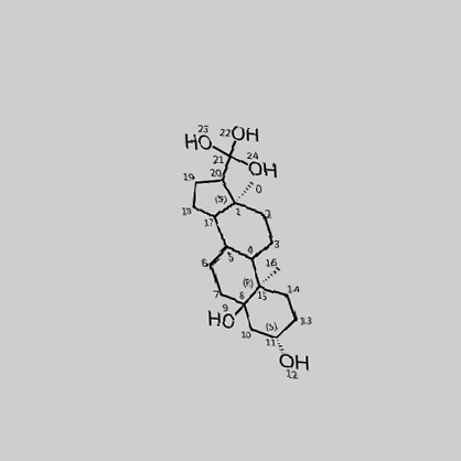 C[C@]12CCC3C(CCC4(O)C[C@@H](O)CC[C@]34C)C1CCC2C(O)(O)O